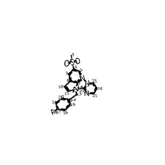 CS(=O)(=O)c1cnc2c(c1)C=C[N+]2(Cc1ccc(F)cc1)c1ncccn1